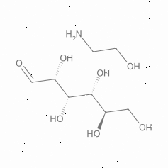 NCCO.O=C[C@H](O)[C@@H](O)[C@H](O)[C@H](O)CO